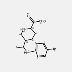 CC(Nc1ccc(Br)cc1)C1CCC(C(=O)C=O)NC1